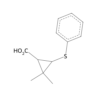 CC1(C)C(Sc2ccccc2)C1C(=O)O